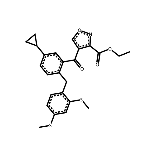 CCOC(=O)c1nocc1C(=O)c1cc(C2CC2)ccc1Cc1ccc(SC)cc1SC